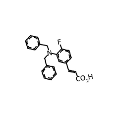 O=C(O)/C=C/c1ccc(F)c(N(Cc2ccccc2)Cc2ccccc2)c1